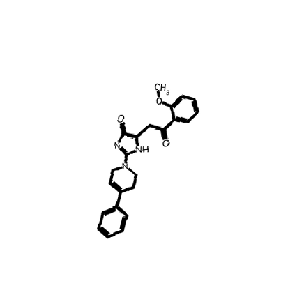 COc1ccccc1C(=O)CC1NC(N2CC=C(c3ccccc3)CC2)=NC1=O